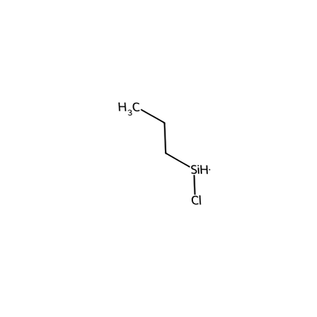 CCC[SiH]Cl